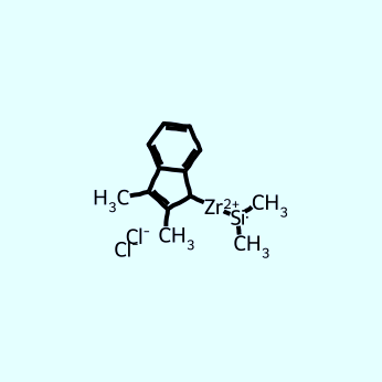 CC1=C(C)[CH]([Zr+2][Si](C)C)c2ccccc21.[Cl-].[Cl-]